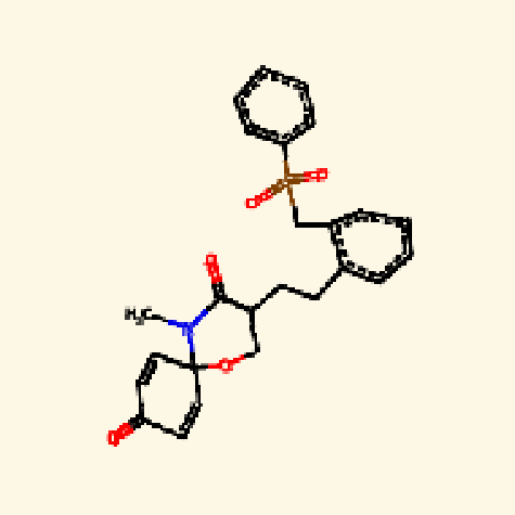 CN1C(=O)C(CCc2ccccc2CS(=O)(=O)c2ccccc2)COC12C=CC(=O)C=C2